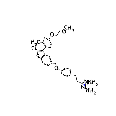 COCCOc1ccc(-c2c(Cl)sc3ccc(COc4ccc(CC/C(=N/N)NN)cc4)cc23)c(C)c1